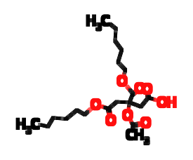 CCCCCCOC(=O)CC(CC(=O)O)(OC(C)=O)C(=O)OCCCCCC